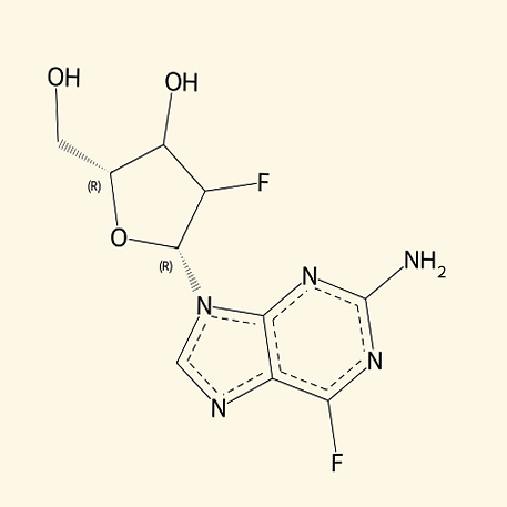 Nc1nc(F)c2ncn([C@@H]3O[C@H](CO)C(O)C3F)c2n1